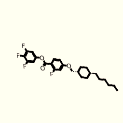 CCCCCC[C@H]1CC[C@H](COc2ccc(C(=O)Oc3cc(F)c(F)c(F)c3)c(F)c2)CC1